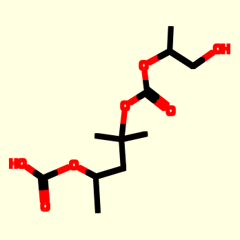 CC(CC(C)(C)OC(=O)OC(C)CO)OC(=O)O